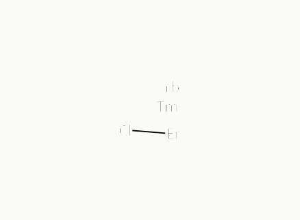 [Cl][Er].[Tm].[Yb]